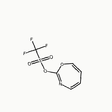 O=S(=O)(OC1=NC=CC=CO1)C(F)(F)F